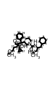 CNCC(CC1CCCCC1)NC(=O)N1CCC[C@@H]([C@@](O)(CCCCOC)c2ccccc2OCCC2CC2)C1